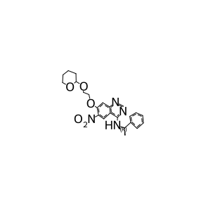 C[C@@H](Nc1ncnc2cc(OCCOC3CCCCO3)c([N+](=O)[O-])cc12)c1ccccc1